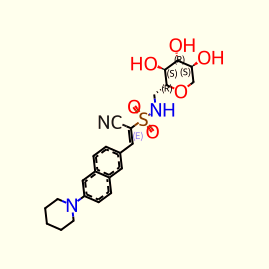 N#C/C(=C\c1ccc2cc(N3CCCCC3)ccc2c1)S(=O)(=O)NC[C@H]1OC[C@H](O)[C@@H](O)[C@@H]1O